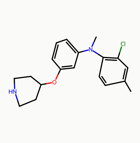 Cc1ccc(N(C)c2cccc(OC3CCNCC3)c2)c(Cl)c1